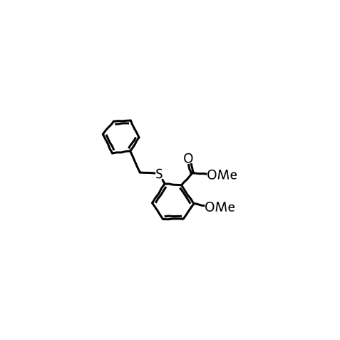 COC(=O)c1c(OC)cccc1SCc1ccccc1